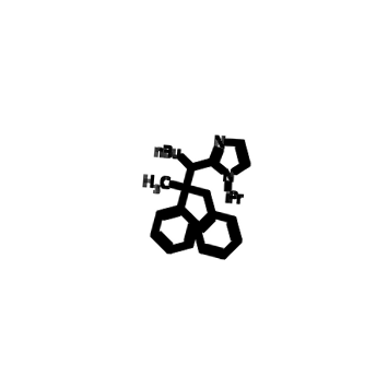 CCCCC(c1nccn1C(C)C)C(C)(Cc1ccccc1)c1ccccc1